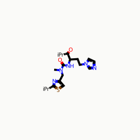 CC(C)C(=O)C(CCn1ccnc1)NC(=O)N(C)Cc1csc(C(C)C)n1